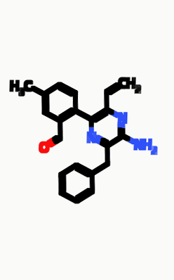 C=Cc1nc(N)c(Cc2ccccc2)nc1-c1ccc(C)cc1C=O